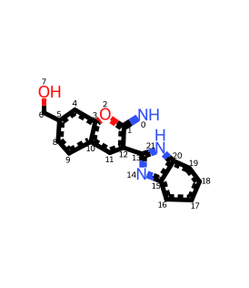 N=c1oc2cc(CO)ccc2cc1-c1nc2ccccc2[nH]1